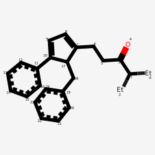 CCC(CC)C(=O)CCC1=CC=C(c2ccccc2)C1Cc1ccccc1